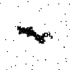 CCCCC1([C@H]2CC[C@H](COc3cc(F)c(C(=O)Oc4ccc(C#N)c(F)c4)c(F)c3)CC2)CCCCC1